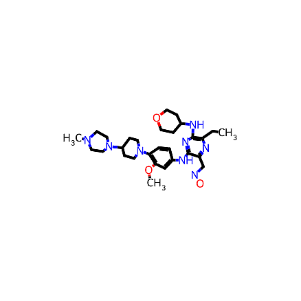 CCc1nc(CN=O)c(Nc2ccc(N3CCC(N4CCN(C)CC4)CC3)c(OC)c2)nc1NC1CCOCC1